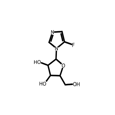 OCC1OC(n2cncc2F)C(O)C1O